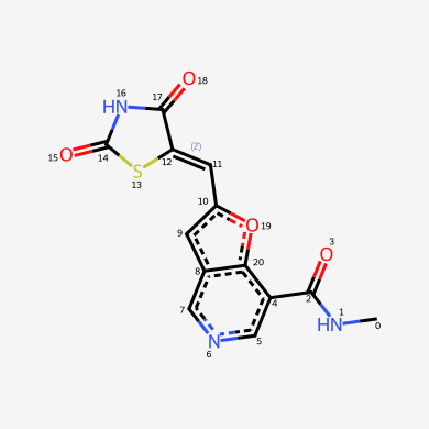 CNC(=O)c1cncc2cc(/C=C3\SC(=O)NC3=O)oc12